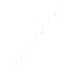 C=CC(=O)OCCCCNC(=O)CCC(=O)OC